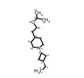 CC[C@H]1C[C@H](N2CCC(CCOC(C)C)CC2)C1